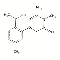 Cc1ccc(C(C)C)c(OCC(=N)N(C)C(N)=O)c1